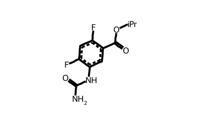 CC(C)OC(=O)c1cc(NC(N)=O)c(F)cc1F